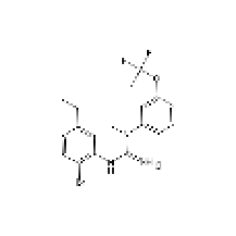 CCc1ccc(Br)c(NC(=N)N(C)c2cccc(OC(F)(F)F)c2)c1.Cl